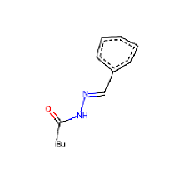 CCC(C)C(=O)N/N=C/c1ccccc1